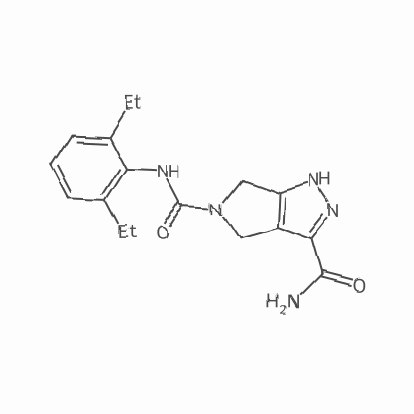 CCc1cccc(CC)c1NC(=O)N1Cc2[nH]nc(C(N)=O)c2C1